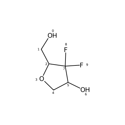 OCC1OCC(O)C1(F)F